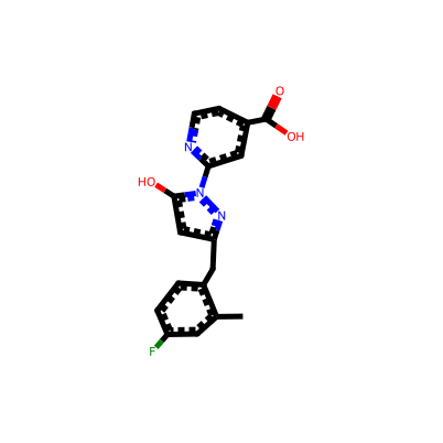 Cc1cc(F)ccc1Cc1cc(O)n(-c2cc(C(=O)O)ccn2)n1